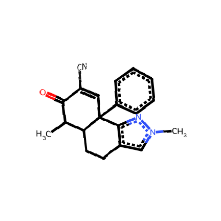 CC1C(=O)C(C#N)=CC2(c3ccccc3)c3nn(C)cc3CCC12